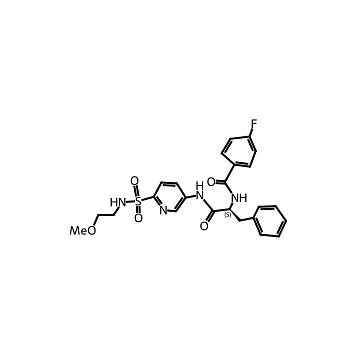 COCCNS(=O)(=O)c1ccc(NC(=O)[C@H](Cc2ccccc2)NC(=O)c2ccc(F)cc2)cn1